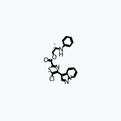 C[C@@H](COC(=O)c1nc(-c2cnn3ccccc23)c(Cl)s1)Nc1ccccc1